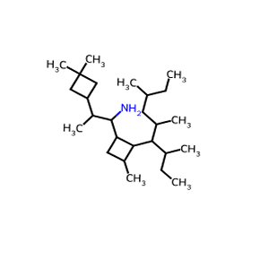 CCC(C)CC(C)C(C(C)CC)C1C(C)CC1C(N)C(C)C1CC(C)(C)C1